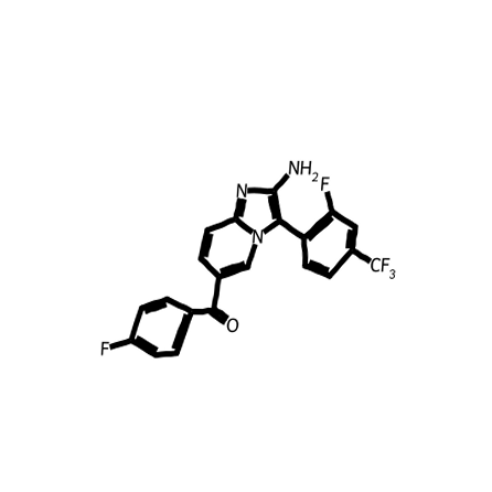 Nc1nc2ccc(C(=O)c3ccc(F)cc3)cn2c1-c1ccc(C(F)(F)F)cc1F